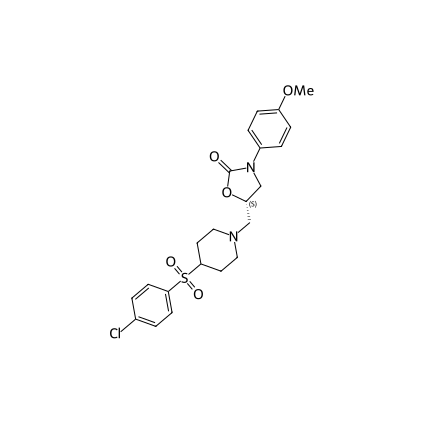 COc1ccc(N2C[C@H](CN3CCC(S(=O)(=O)c4ccc(Cl)cc4)CC3)OC2=O)cc1